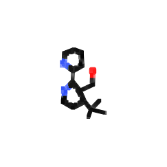 CC(C)(C)c1ccnc(-c2ccccn2)c1C=O